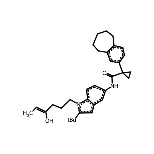 CC=C(O)CCCn1c(C(C)(C)C)cc2cc(NC(=O)C3(c4ccc5c(c4)CCCCC5)CC3)ccc21